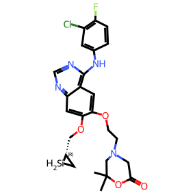 CC1(C)CN(CCOc2cc3c(Nc4ccc(F)c(Cl)c4)ncnc3cc2OC[C@@H]2C[SiH2]2)CC(=O)O1